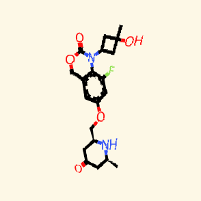 C[C@H]1CC(=O)C[C@@H](COc2cc(F)c3c(c2)COC(=O)N3C2CC(C)(O)C2)N1